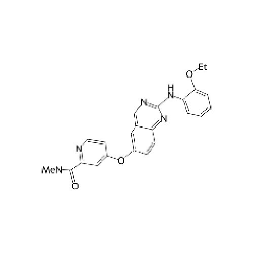 CCOc1ccccc1Nc1ncc2cc(Oc3ccnc(C(=O)NC)c3)ccc2n1